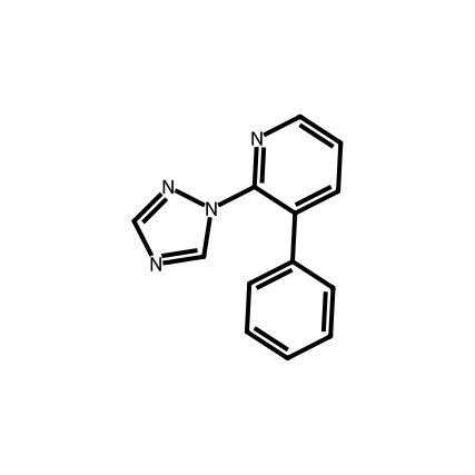 c1ccc(-c2cccnc2-n2cncn2)cc1